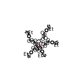 C=C[Si](C=C)(CC)c1ccc(C(=O)OOC(=O)OCCC(COC(=O)OOC(=O)c2ccc([Si](C=C)(C=C)CC)cc2)C(COC(=O)OOC(=O)c2ccc([Si](C=C)(C=C)CC)cc2)C(CCOC(=O)OOC(=O)c2ccc([Si](C=C)(C=C)CC)cc2)COC(=O)OOC(=O)c2ccc([Si](C=C)(C=C)CC)cc2)cc1